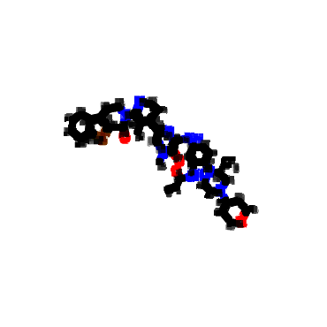 C=CC(=O)Nc1cc(Nc2nc(-c3ccnc(N4CCc5c(sc6c5CCCC6)C4=O)c3C)cn(C)c2=O)ccc1N1CCN(C2CCOCC2)C[C@H]1C(F)(F)F